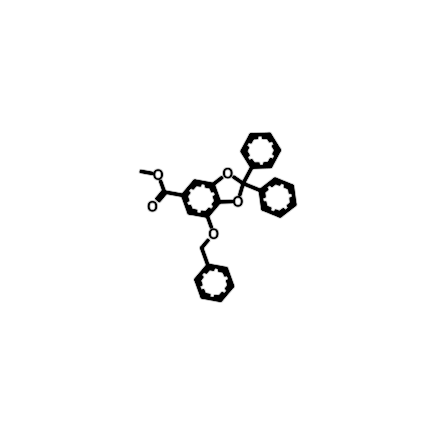 COC(=O)c1cc(OCc2ccccc2)c2c(c1)OC(c1ccccc1)(c1ccccc1)O2